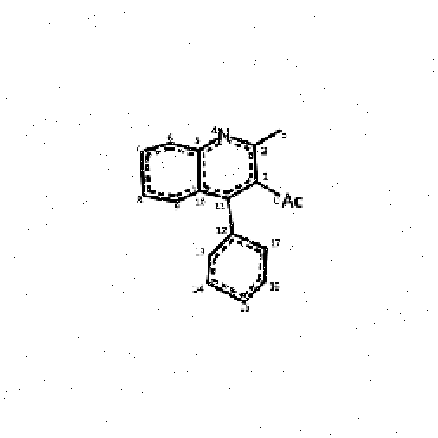 CC(=O)c1c(C)nc2ccccc2c1-c1ccccc1